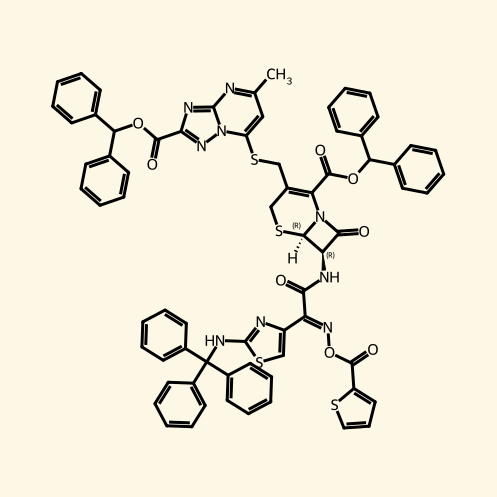 Cc1cc(SCC2=C(C(=O)OC(c3ccccc3)c3ccccc3)N3C(=O)[C@@H](NC(=O)C(=NOC(=O)c4cccs4)c4csc(NC(c5ccccc5)(c5ccccc5)c5ccccc5)n4)[C@H]3SC2)n2nc(C(=O)OC(c3ccccc3)c3ccccc3)nc2n1